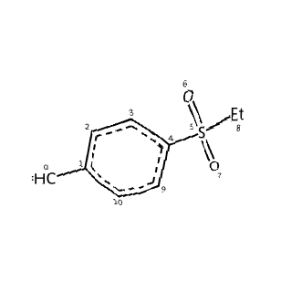 [CH]c1ccc(S(=O)(=O)CC)cc1